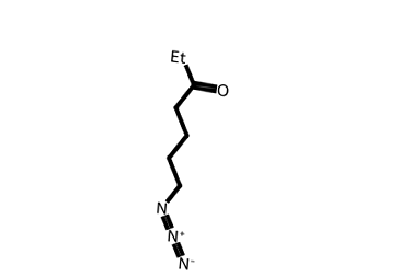 CCC(=O)CCCCN=[N+]=[N-]